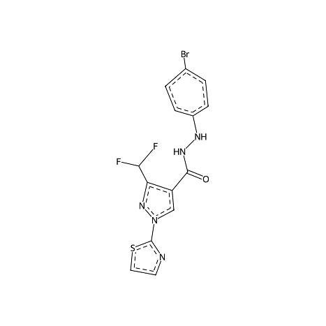 O=C(NNc1ccc(Br)cc1)c1cn(-c2nccs2)nc1C(F)F